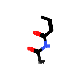 C/C=C\C(=O)NC(=O)CCC